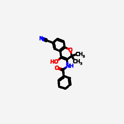 CC1(C)Oc2ccc(C#N)cc2C(O)=C1NC(=O)C1=CCCC=C1